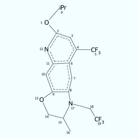 CC(C)Oc1cc(C(F)(F)F)c2cc3c(cc2n1)OCC(C)N3CC(F)(F)F